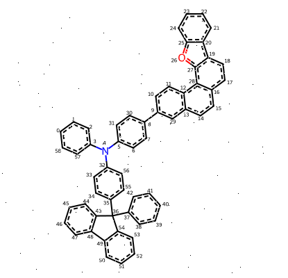 c1ccc(N(c2ccc(-c3ccc4c(ccc5ccc6c7ccccc7oc6c54)c3)cc2)c2ccc(C3(c4ccccc4)c4ccccc4-c4ccccc43)cc2)cc1